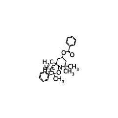 CC(C)(ON1C(C)(C)CC(OC(=O)c2ccccc2)CC1(C)C)c1ccccc1